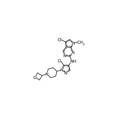 Cn1cc(Cl)c2cnc(Nc3cnn(C4CCN(C5COC5)CC4)c3Cl)nc21